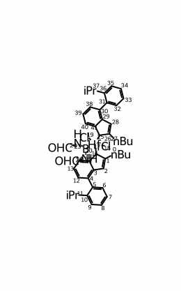 CCCCC1=Cc2c(-c3ccccc3C(C)C)cccc2[CH]1[Hf]([Cl])([Cl])([B](NC=O)NC=O)[CH]1C(CCCC)=Cc2c(-c3ccccc3C(C)C)cccc21